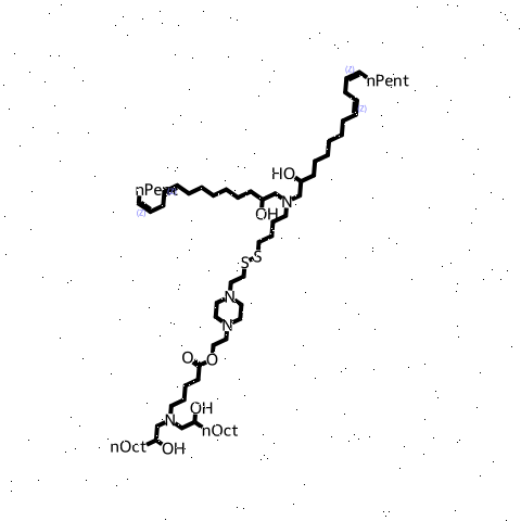 CCCCC/C=C\C/C=C\CCCCCCC(O)CN(CCCCSSCCN1CCN(CCOC(=O)CCCCN(CC(O)CCCCCCCC)CC(O)CCCCCCCC)CC1)CC(O)CCCCCC/C=C\C/C=C\CCCCC